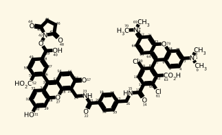 CN(C)c1ccc2c(-c3c(Cl)cc(C(=O)NCc4ccc(C(=O)NCc5c6oc7cc(O)ccc7c(-c7cc(C(O)ON8C(=O)CCC8=O)ccc7C(=O)O)c-6ccc5=O)cc4)c(Cl)c3C(=O)O)c3ccc(=[N+](C)C)cc-3oc2c1